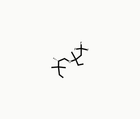 CCC(C)(CC(F)(F)F)OC[C@@H](C)C(C)(C)CC